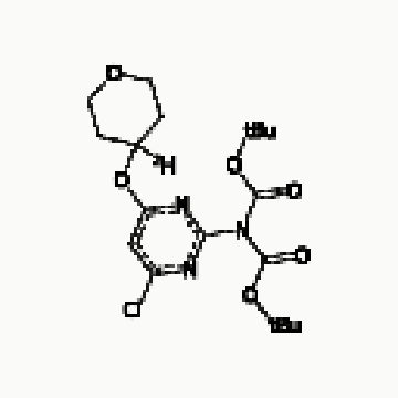 [2H]C1(Oc2cc(Cl)nc(N(C(=O)OC(C)(C)C)C(=O)OC(C)(C)C)n2)CCOCC1